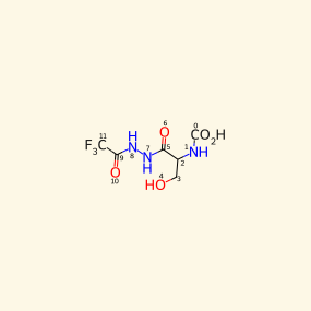 O=C(O)NC(CO)C(=O)NNC(=O)C(F)(F)F